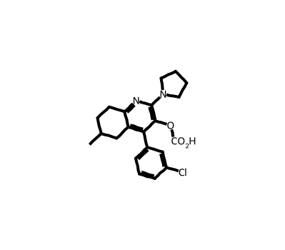 CC1CCc2nc(N3CCCC3)c(OC(=O)O)c(-c3cccc(Cl)c3)c2C1